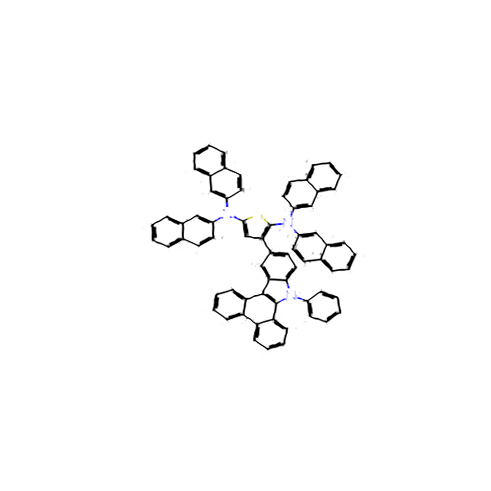 c1ccc(-n2c3ccc(-c4cc(N(c5ccc6ccccc6c5)c5ccc6ccccc6c5)sc4N(c4ccc5ccccc5c4)c4ccc5ccccc5c4)cc3c3c4ccccc4c4ccccc4c32)cc1